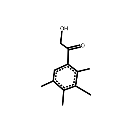 Cc1cc(C(=O)CO)c(C)c(C)c1C